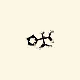 O=C(O)C(O)(C(=O)O)c1ccco1